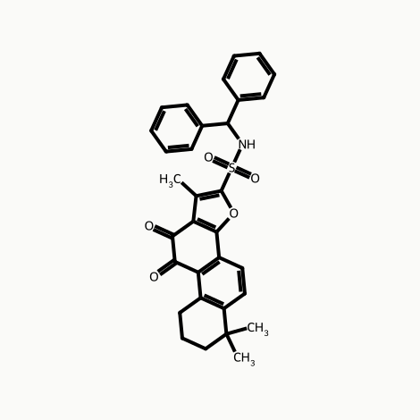 Cc1c(S(=O)(=O)NC(c2ccccc2)c2ccccc2)oc2c1C(=O)C(=O)c1c-2ccc2c1CCCC2(C)C